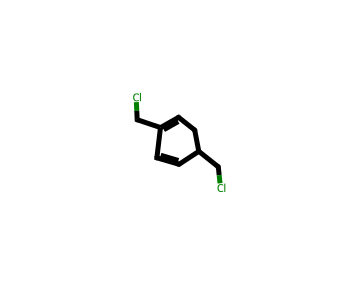 ClCC1=CCC(CCl)C=C1